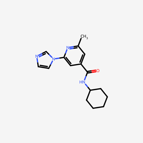 Cc1cc(C(=O)NC2CCCCC2)cc(-n2ccnc2)n1